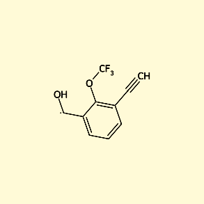 C#Cc1cccc([CH]O)c1OC(F)(F)F